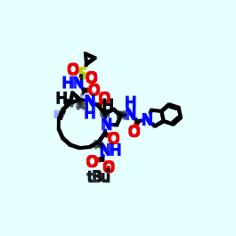 CC(C)(C)OC(=O)N[C@H]1CCCCC/C=C\[C@@H]2C[C@@]2(C(=O)NS(=O)(=O)C2CC2)NC(=O)[C@@H]2C[C@@H](NC(=O)N3CC4C=CC=CC4C3)CN2C1=O